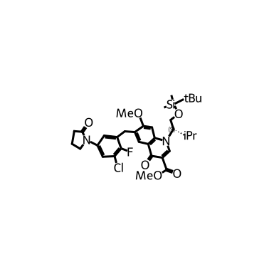 COC(=O)c1cn([C@H](CO[Si](C)(C)C(C)(C)C)C(C)C)c2cc(OC)c(Cc3cc(N4CCCC4=O)cc(Cl)c3F)cc2c1=O